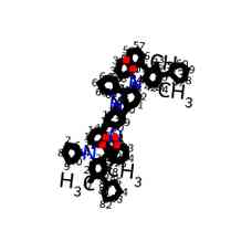 Cc1cc(N(c2ccccc2)c2ccc3c4cc5c(cc4n4c6ccccc6c2c34)c2ccc(N(c3ccccc3)c3cc(C)c(C4CCCCC4)c(C)c3-c3ccccc3)c3c4ccccc4n5c23)c(-c2ccccc2)c(C)c1C1CCCCC1